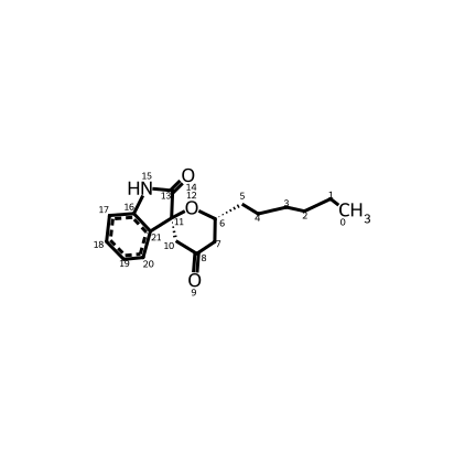 CCCCCC[C@@H]1CC(=O)C[C@@]2(O1)C(=O)Nc1ccccc12